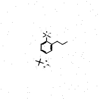 CCCc1ccccc1[I+](F)(F)(F)(F)F.O=S(=O)([O-])C(F)(F)F